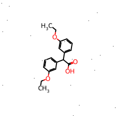 CCOc1cccc(C(C(=O)O)c2cccc(OCC)c2)c1